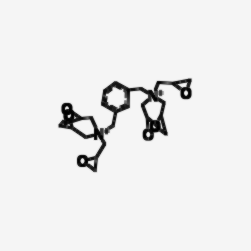 c1cc(C[N+](CC2CO2)(CC2CO2)CC2CO2)cc(C[N+](CC2CO2)(CC2CO2)CC2CO2)c1